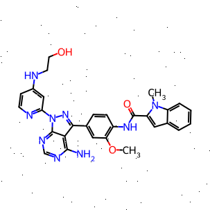 COc1cc(-c2nn(-c3cc(NCCO)ccn3)c3ncnc(N)c23)ccc1NC(=O)c1cc2ccccc2n1C